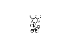 Cc1cccc(C)c1.O=S(=O)(Cl)Cl